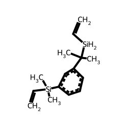 C=C[SiH2]C(C)(C)c1cccc([Si](C)(C)C=C)c1